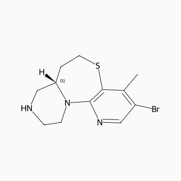 Cc1c(Br)cnc2c1SCC[C@H]1CNCCN21